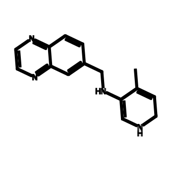 CC1=CCNC=C1NCc1ccc2nccnc2c1